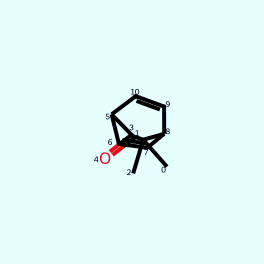 CC1(C)C(=O)C2C=CC1C=C2